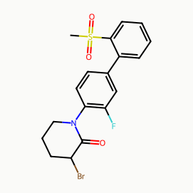 CS(=O)(=O)c1ccccc1-c1ccc(N2CCCC(Br)C2=O)c(F)c1